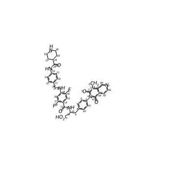 Cn1c(=O)n(-c2ccc(CC(NC(=O)c3cc(F)c(NSc4ccc(NC(=O)C5CCNCC5)cc4)cc3F)C(=O)O)cc2)c(=O)c2ccncc21